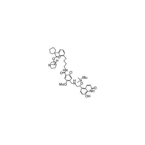 COc1cc(C(=O)NCCCCc2cccc(C3(C(=O)O[C@H]4CN5CCC4CC5)CCCCC3)c2)c(Cl)cc1CNCC(O[Si](C)(C)C(C)(C)C)c1ccc(O)c2[nH]c(=O)ccc12